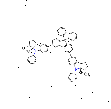 CC1CCC2c3cc(-c4ccc5c(c4)-c4cc(-c6ccc7c(c6)C6CCC(C)C6(C)N7c6ccccc6)ccc4C5(c4ccccc4)c4ccccc4)ccc3N(c3ccccc3)C12C